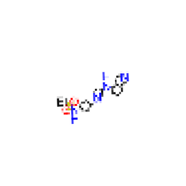 CCS(=O)(=O)Nc1ccc(CN2CCC(Nc3cccc4cnccc34)C2)cc1